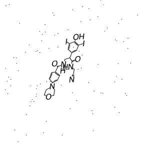 N#CCNC(=O)C(CNC(=O)c1ccc(N2CCOCC2)cc1)c1cc(I)c(O)c(I)c1